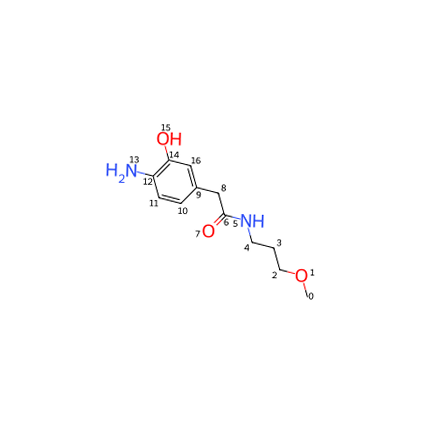 COCCCNC(=O)Cc1ccc(N)c(O)c1